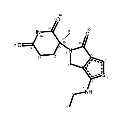 CCNc1scc2c1CN([C@@]1(C)CCC(=O)NC1=O)C2=O